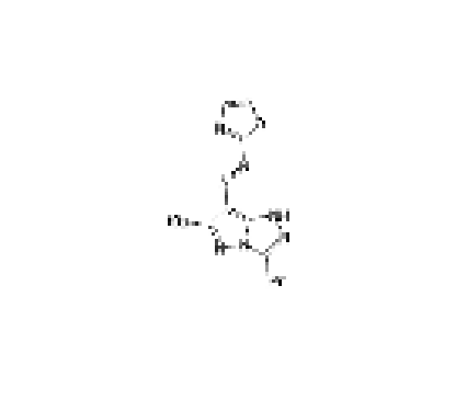 CC(C)c1n[nH]c2c(N=Nc3ncco3)c(C(C)(C)C)nn12